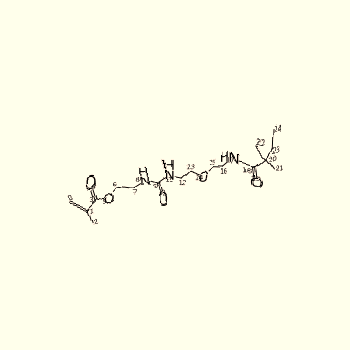 C=C(C)C(=O)OCCNC(=O)NCCOCCNC(=O)C(C)(C)CC